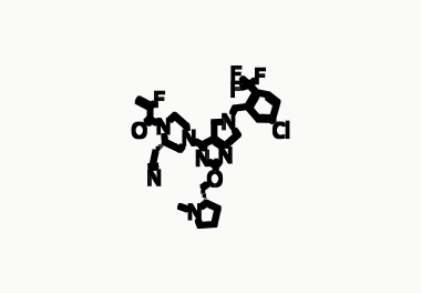 C=C(F)C(=O)N1CCN(c2nc(OC[C@@H]3CCCN3C)nc3c2CN(Cc2cc(Cl)ccc2C(F)(F)F)C3)C[C@@H]1CC#N